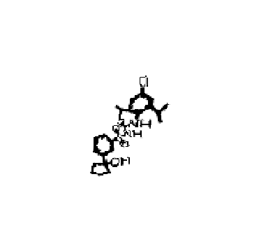 CC(C)c1cc(Cl)cc(C(C)C)c1NC(=O)NS(=O)(=O)c1cccc(C2(O)CCCC2)c1